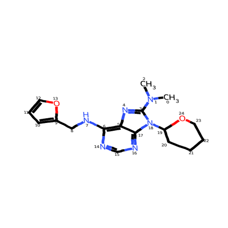 CN(C)c1nc2c(NCc3ccco3)ncnc2n1C1CCCCO1